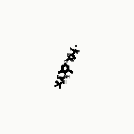 Cc1cc(Oc2nc(C(F)(F)F)cs2)cc(C)c1NC(=S)NC(C)(C)C